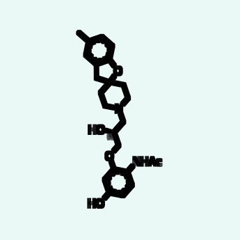 CC(=O)Nc1ccc(O)cc1OC[C@@H](O)CN1CCC2(CC1)Cc1cc(C)ccc1O2